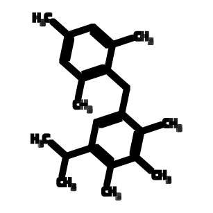 C[C](C)c1cc(Cc2c(C)cc(C)cc2C)c(C)c(C)c1C